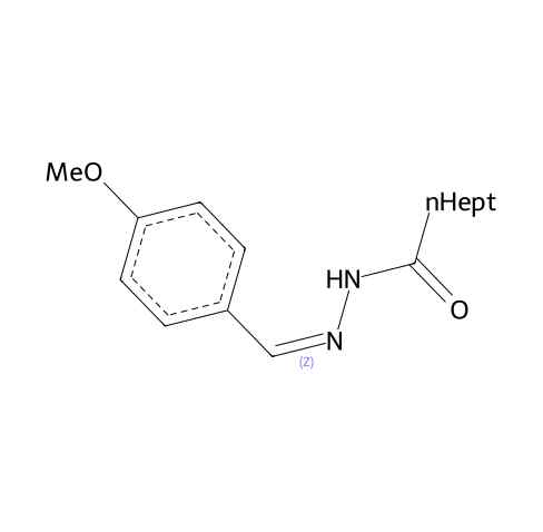 CCCCCCCC(=O)N/N=C\c1ccc(OC)cc1